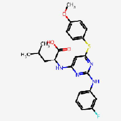 COc1ccc(Sc2cc(N[C@@H](CC(C)C)C(=O)O)nc(Nc3cccc(F)c3)n2)cc1